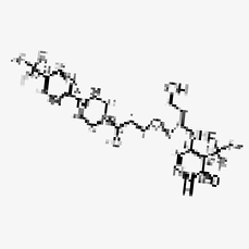 O=C(CCOC[C@H](CCO)Nc1cn[nH]c(=O)c1C(F)(F)F)N1CCN(c2ncc(C(F)(F)F)cn2)CC1